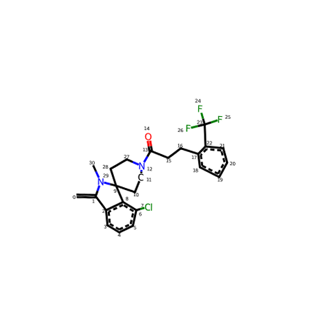 C=C1c2cccc(Cl)c2C2(CCN(C(=O)CCc3ccccc3C(F)(F)F)CC2)N1C